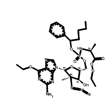 CCCCC(OP(=O)(N[C@@H](C)C(=O)OOCC)OC[C@H]1O[C@@H](n2cnc3c(OCC)nc(N)nc32)[C@](C)(N=[N+]=[N-])[C@@H]1O)c1ccccc1